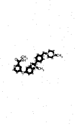 CNC(=O)c1cc(Oc2ccc3c(c2)nc(-c2ccc(CN4CCN(C)CC4)cc2)n3C)ccn1